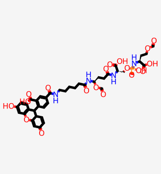 O=COCC[C@H](NP(=O)(O)OC[C@H](NC(=O)CC[C@H](NC(=O)CCCCCNC(=O)c1ccc(C2c3ccc(O)cc3OC3=CC(=O)C=CC32)c(C(=O)O)c1)OC=O)C(=O)O)C(=O)O